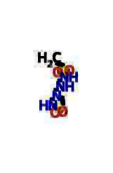 C=CCS(=O)(=O)NCNCN1CCS(=O)(=O)NC1